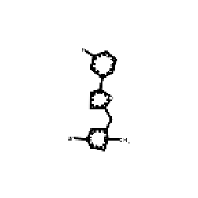 Cc1ccc(Br)cc1Cc1ccc(-c2cccc(F)c2)s1